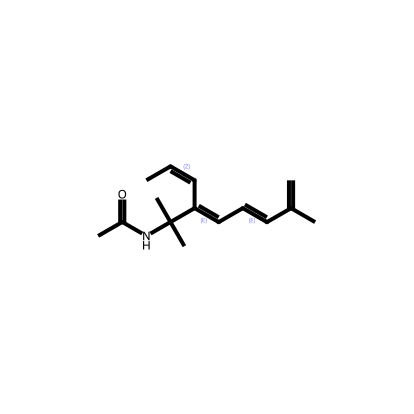 C=C(C)/C=C/C=C(\C=C/C)C(C)(C)NC(C)=O